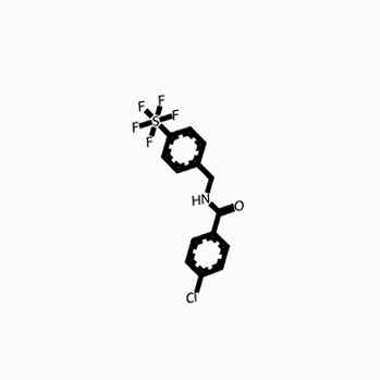 O=C(NCc1ccc(S(F)(F)(F)(F)F)cc1)c1ccc(Cl)cc1